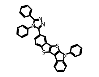 c1ccc(-c2nnc(-c3ccc4sc5c(sc6c5c5ccccc5n6-c5ccccc5)c4c3)n2-c2ccccc2)cc1